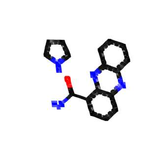 NC(=O)c1cccc2nc3ccccc3nc12.c1cc[nH]c1